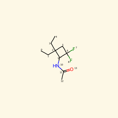 CCC1(CC)CC(F)(F)[C]1NC(C)=O